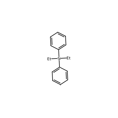 CC[Si](CC)(c1cc[c]cc1)c1ccccc1